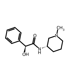 CN1CCC[C@H](NC(=O)[C@@H](O)c2ccccc2)C1